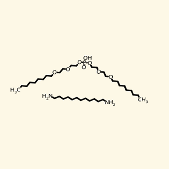 CCCCCCCCCOCCOCCOP(=O)(O)OCCOCCOCCCCCCCCC.NCCCCCCCCCCCCN